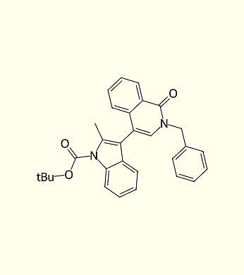 Cc1c(-c2cn(Cc3ccccc3)c(=O)c3ccccc23)c2ccccc2n1C(=O)OC(C)(C)C